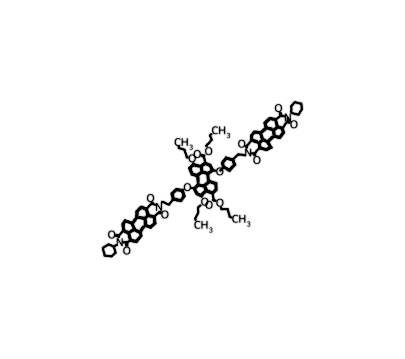 CCCCOC(=O)c1ccc2c3c(Oc4ccc(CCN5C(=O)c6ccc7c8ccc9c%10c(ccc(c%11ccc(c6c7%11)C5=O)c%108)C(=O)N(C5CCCCC5)C9=O)cc4)cc(C(=O)OCCCC)c4c(OCCCC)ccc(c5c(Oc6ccc(CCN7C(=O)c8ccc9c%10ccc%11c%12c(ccc(c%13ccc(c8c9%13)C7=O)c%12%10)C(=O)N(C7CCCCC7)C%11=O)cc6)cc(OCCCC)c1c25)c43